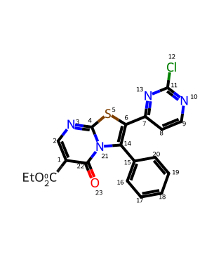 CCOC(=O)c1cnc2sc(-c3ccnc(Cl)n3)c(-c3ccccc3)n2c1=O